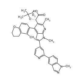 Cc1nc2c(cc(-c3ccnc(-c4ccc5c(cnn5C)c4)c3)n2C)c(-c2ccc3c(c2C)CCCO3)c1[C@H](OC(C)(C)C)C(=O)O